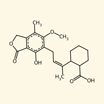 COc1c(C)c2c(c(O)c1C/C=C(/C)C1CCCCC1C(=O)O)C(=O)OC2